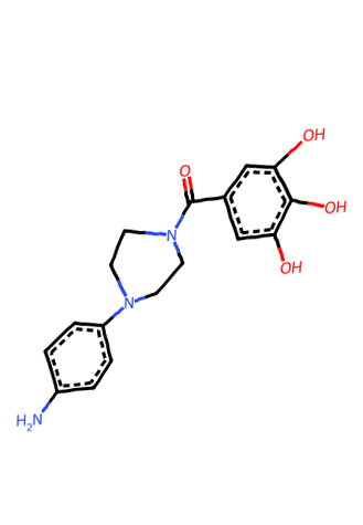 Nc1ccc(N2CCN(C(=O)c3cc(O)c(O)c(O)c3)CC2)cc1